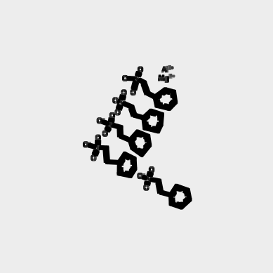 O=S(=O)([O-])C=Cc1ccccc1.O=S(=O)([O-])C=Cc1ccccc1.O=S(=O)([O-])C=Cc1ccccc1.O=S(=O)([O-])C=Cc1ccccc1.O=S(=O)([O-])C=Cc1ccccc1.[Al+3].[Mg+2]